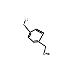 CCSc1ccc(COC(C)=O)cc1